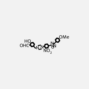 COc1ccc(-c2noc(-c3ccc(N4CCN(Cc5ccc(O)c(C=O)c5)CC4)c([N+](=O)[O-])c3)n2)cc1